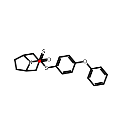 O=C1CC2CCC(C1)N2C(=S)Sc1ccc(Oc2ccccc2)cc1